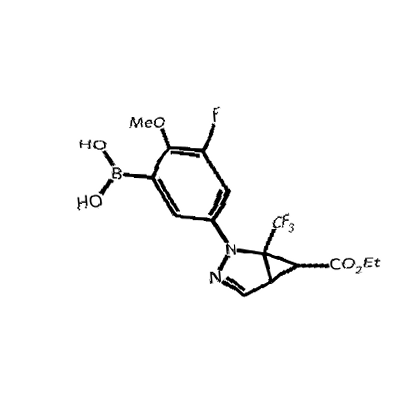 CCOC(=O)C1C2C=NN(c3cc(F)c(OC)c(B(O)O)c3)C21C(F)(F)F